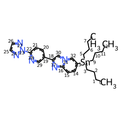 CCC[CH2][Sn]([CH2]CCC)([CH2]CCC)[c]1ccc2nc(-c3ccc(-n4nccn4)nc3)cn2c1